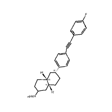 CCCCCCC1CC[C@@H]2C[C@H](c3ccc(C#Cc4ccc(F)cc4)cc3)CC[C@@H]2C1